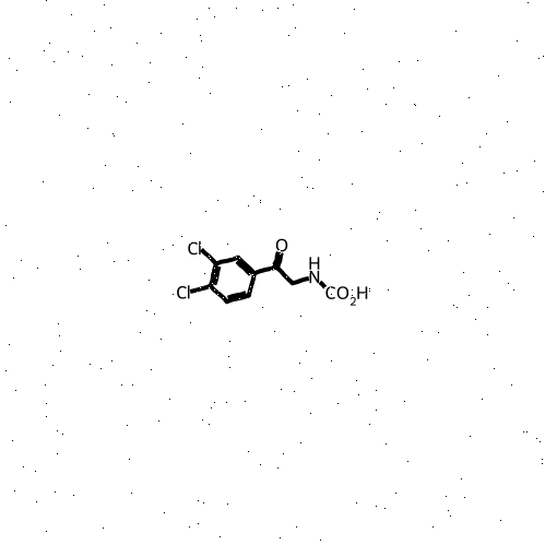 O=C(O)NCC(=O)c1ccc(Cl)c(Cl)c1